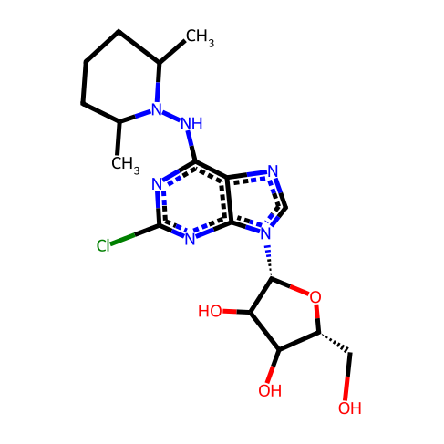 CC1CCCC(C)N1Nc1nc(Cl)nc2c1ncn2[C@@H]1O[C@H](CO)C(O)C1O